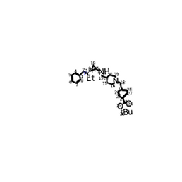 CC/C(=C\c1ccccc1)[C@@H]1C[C@H]1NCC1CCN(Cc2ccc(C(=O)OC(C)(C)C)cc2)CC1